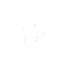 CC(C)(C)c1ccccc1.OO